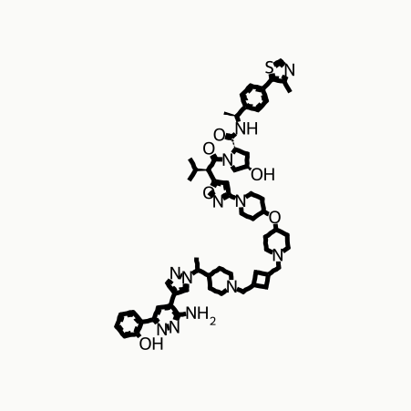 Cc1ncsc1-c1ccc([C@H](C)NC(=O)[C@@H]2C[C@@H](O)CN2C(=O)[C@@H](c2cc(N3CCC(OC4CCN(CC5CC(CN6CCC(C(C)n7cc(-c8cc(-c9ccccc9O)nnc8N)cn7)CC6)C5)CC4)CC3)no2)C(C)C)cc1